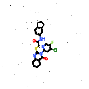 O=C(CSc1nc2ccccc2c(=O)n1-c1cc(Cl)c(F)cn1)Nc1ccc2c(c1)CCC2